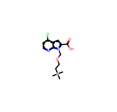 C[Si](C)(C)CCOCn1c(C(=O)O)cc2c(Cl)ccnc21